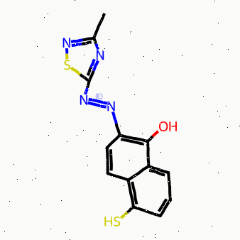 Cc1nsc(/N=N/c2ccc3c(S)cccc3c2O)n1